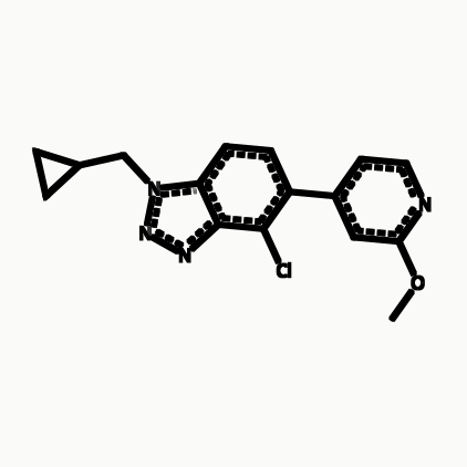 COc1cc(-c2ccc3c(nnn3CC3CC3)c2Cl)ccn1